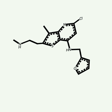 CNCCc1sc2c(NCc3ccco3)cc(Cl)nc2c1C